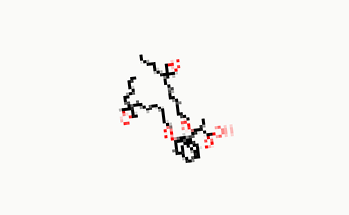 CCCCC1(CCCCCCOC(=C(C)C(=O)O)C23CC4CC(CC(OCCCCCCC5(CCCC)COC5)(C4)C2)C3)COC1